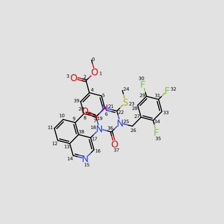 COC(=O)c1cccc(-c2cccc3cncc(-n4c(=O)nc(SC)n(Cc5cc(F)c(F)cc5F)c4=O)c23)c1